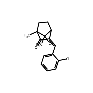 CC12CCC(/C(=C/c3ccccc3Cl)C1=O)C2(C)C